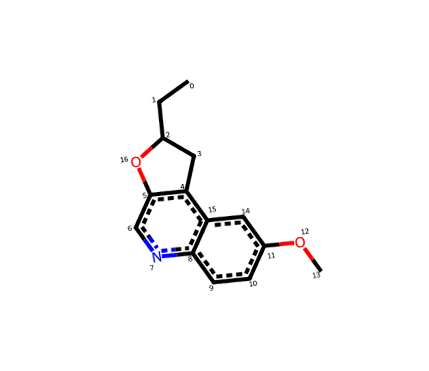 CCC1Cc2c(cnc3ccc(OC)cc23)O1